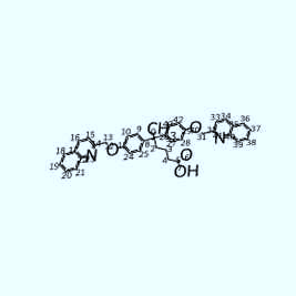 CC(CCCC(=O)O)(c1ccc(OCc2ccc3ccccc3n2)cc1)c1ccc(OCc2ccc3ccccc3n2)cc1